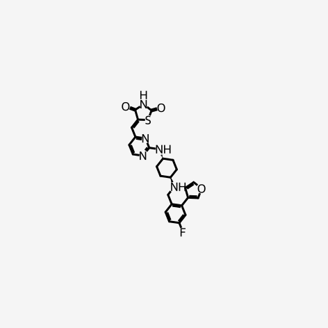 O=C1NC(=O)C(=Cc2ccnc(N[C@H]3CC[C@H](NCc4ccc(F)cc4-c4ccoc4)CC3)n2)S1